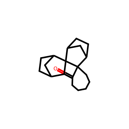 O=C1CCCCCC12C1CCC(C1)C21CC2CCC1C2